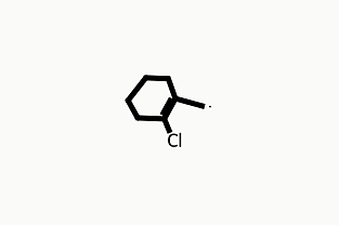 [CH2]C1=C(Cl)CCCC1